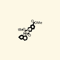 COC(=O)c1ccc2c(c1)CN(C(=O)OC(C)(C)C)[C@H](C(=O)N[C@@H]1CCCc3ccccc31)C2